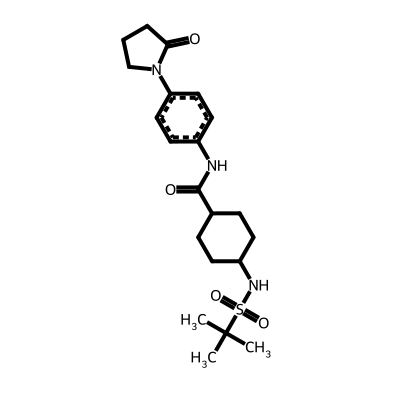 CC(C)(C)S(=O)(=O)NC1CCC(C(=O)Nc2ccc(N3CCCC3=O)cc2)CC1